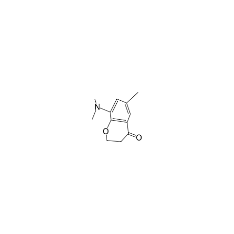 Cc1cc2c(c(N(C)C)c1)OCCC2=O